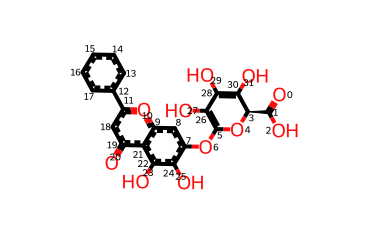 O=C(O)[C@H]1OC(Oc2cc3oc(-c4ccccc4)cc(=O)c3c(O)c2O)=C(O)C(O)=C1O